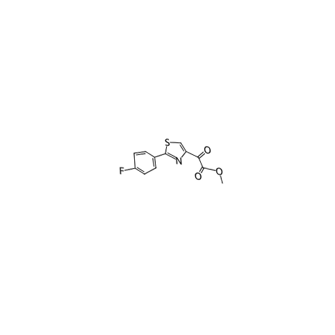 COC(=O)C(=O)c1csc(-c2ccc(F)cc2)n1